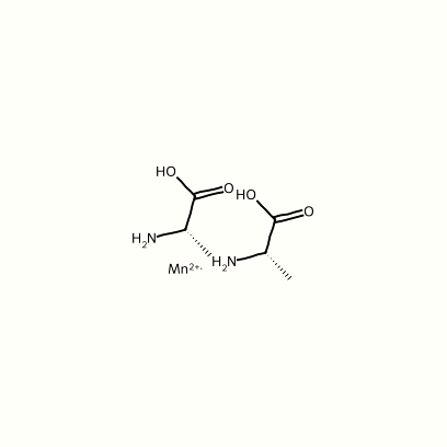 C[C@H](N)C(=O)O.C[C@H](N)C(=O)O.[Mn+2]